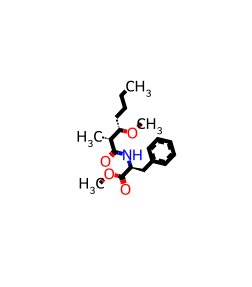 CCCC[C@H](OC)[C@@H](C)C(=O)N[C@@H](Cc1ccccc1)C(=O)OC